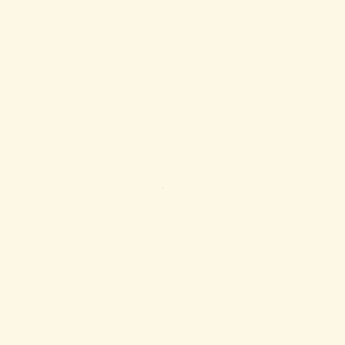 CCc1cc(-c2cccc(Oc3ccc4cnn(C)c4c3)c2)ccc1C(=O)NC1CCNCC1